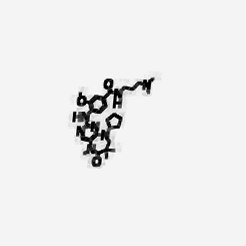 COc1cc(C(=O)NCCCN(C)C)ccc1Nc1ncc2c(n1)N(C1CCCC1)CC(C)(C)C(=O)N2C